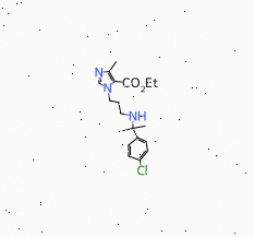 CCOC(=O)c1c(C)ncn1CCCNC(C)(C)c1ccc(Cl)cc1